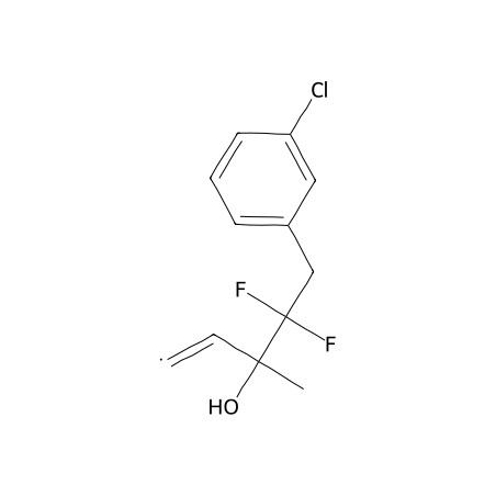 [CH]=CC(C)(O)C(F)(F)Cc1cccc(Cl)c1